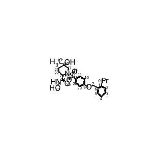 CC(C)c1ccccc1COc1ccc(S(=O)(=O)N2C[C@](C)(O)CC[C@@H]2C(=O)NO)cc1